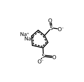 O=S([O-])c1cccc(S(=O)[O-])c1.[Na+].[Na+]